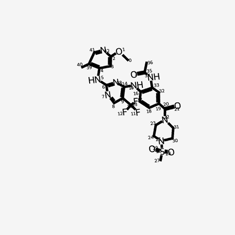 COc1cc(Nc2ncc(C(F)(F)F)c(Nc3ccc(C(=O)N4CCN(S(C)(=O)=O)CC4)cc3NC(C)=O)n2)c(C)cn1